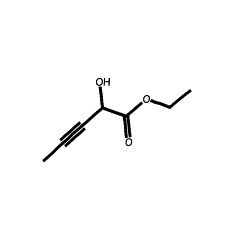 CC#CC(O)C(=O)OCC